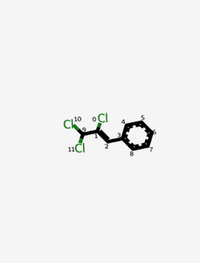 ClC(=Cc1ccccc1)C(Cl)Cl